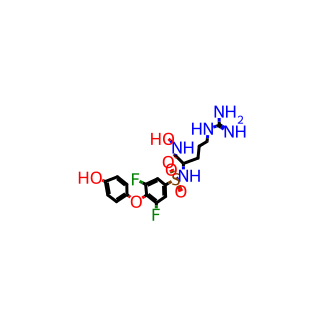 N=C(N)NCCCC(NS(=O)(=O)c1cc(F)c(Oc2ccc(O)cc2)c(F)c1)C(=O)NO